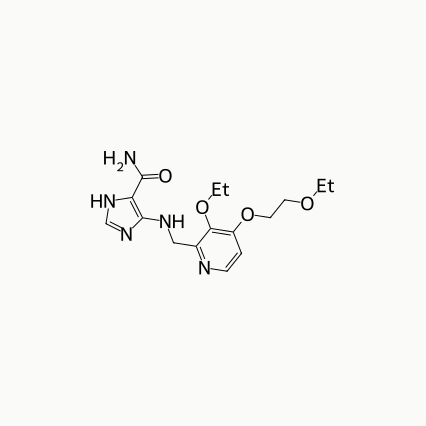 CCOCCOc1ccnc(CNc2nc[nH]c2C(N)=O)c1OCC